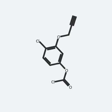 C#CCOc1cc(OC(=O)Cl)ccc1Cl